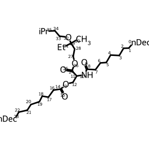 CCCCCCCCCCCCCCCCCC(=O)NC(COC(=O)CCCCCCCCCCCCCCCCC)C(=O)OCCC(C)(CC)OCCC(C)C